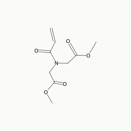 C=CC(=O)N(CC(=O)OC)CC(=O)OC